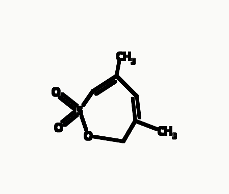 CC1=CS(=O)(=O)OCC(C)=C1